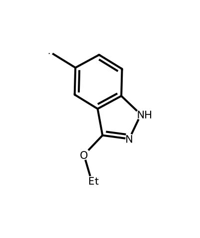 [CH2]c1ccc2[nH]nc(OCC)c2c1